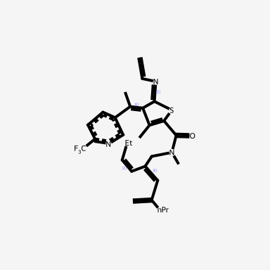 C=C/N=C1/SC(C(=O)N(C)CC(/C=C\CC)=C/C(=C)CCC)=C(C)/C1=C(/C)c1ccc(C(F)(F)F)nc1